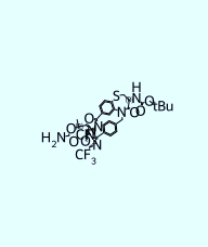 CC(C)(C)OC(=O)N[C@H]1CSc2ccc(-c3nnc([C@@](C)(OC(N)=O)C(F)(F)F)o3)cc2N(Cc2ccc(-c3noc(C(F)(F)F)n3)cc2)C1=O